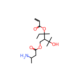 C=CC(=O)OC(C)(CC)C(COC(=O)CC(C)N)C(C)(C)O